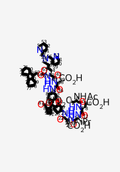 CC(=O)N[C@@H](CC(=O)O)C(=O)N[C@@H](CCC(=O)O)C(=O)N[C@H](C(=O)N[C@@H](CC(=O)O)C(=O)Nc1ccc2c(c1)OC1=CC(NC(=O)[C@H](CC(=O)O)NC(=O)[C@H](CCCCN(Cc3ccccn3)Cc3ccccn3)NC(=O)OCC3c4ccccc4-c4ccccc43)=CCC1C21OC(=O)c2ccccc21)C(C)C